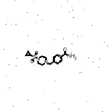 NC(=O)c1ccc(CN2CCN(S(=O)(=O)C3CC3)CC2)cc1